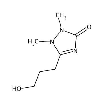 Cn1c(CCCO)nc(=O)n1C